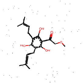 COCC(=O)c1c(O)c(CC=C(C)C)c(O)c(CC=C(C)C)c1O